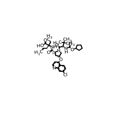 C=CC[C@@](CC)(NC(=O)[C@@H]1C[C@@H](Oc2ccnc3cc(Cl)ccc23)CN1C(=O)[C@@H](NC(=O)OC1CCCC1)C(C)(C)C)C(=O)O